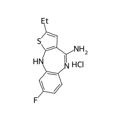 CCc1cc2c(s1)Nc1cc(F)ccc1N=C2N.Cl